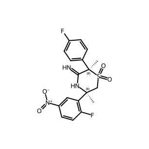 C[C@@]1(c2ccc(F)cc2)C(=N)N[C@](C)(c2cc([N+](=O)[O-])ccc2F)CS1(=O)=O